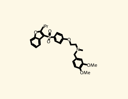 COc1ccc(CN(C)CCOc2ccc(S(=O)(=O)c3c(C(C)C)oc4ccccc34)cc2)cc1OC